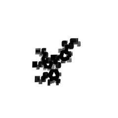 COC[C@@]1(C)C[C@@H](c2ccc(F)c(F)c2OC)[C@H](C(=O)Nc2ccnc(C(=O)OC)c2)O1